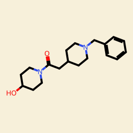 O=C(CC1CCN(Cc2ccccc2)CC1)N1CCC(O)CC1